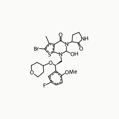 COc1ccc(F)cc1[C@H](CN1c2sc(Br)c(C)c2C(=O)N(C2CCNC2=O)C1O)OC1CCOCC1